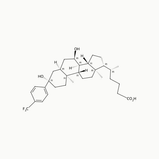 C[C@H](CCCC(=O)O)[C@H]1CC[C@H]2[C@@H]3[C@H](O)C[C@@H]4C[C@](O)(c5ccc(C(F)(F)F)cc5)CC[C@]4(C)[C@H]3CC[C@]12C